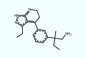 CCc1n[nH]c2c1=C(c1cccc(C(C)(CC)CN)c1)CCN=2